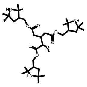 COC(C(=O)OCC1CC(C)(C)NC1(C)C)C(CC(=O)OCC1CC(C)(C)NC1(C)C)CC(=O)OCC1CC(C)(C)NC1(C)C